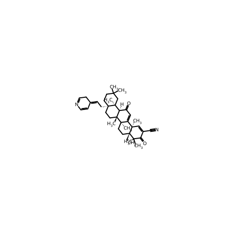 C=C[C@@]12CC[C@]3(C)C(=CC(=O)[C@@H]4[C@]5(C)CC(C)(C)CC[C@]5(C/C=C5\C=CN=CC5)CC[C@]43C)[C@@]1(C)C=C(C#N)C(=O)C2(C)C